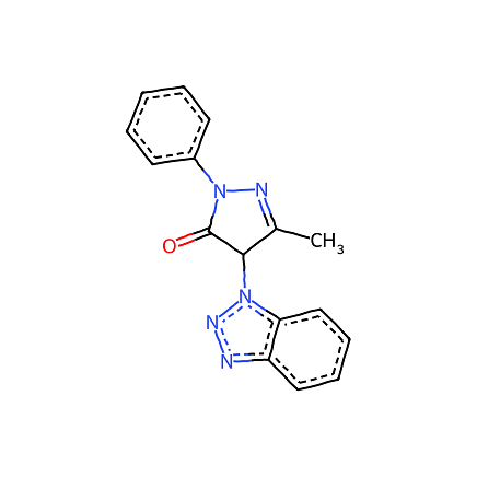 CC1=NN(c2ccccc2)C(=O)C1n1nnc2ccccc21